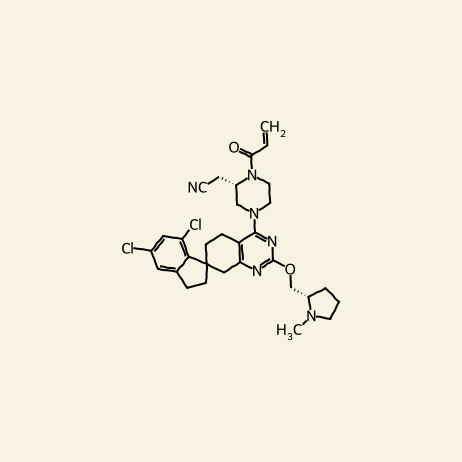 C=CC(=O)N1CCN(c2nc(OC[C@@H]3CCCN3C)nc3c2CCC2(CCc4cc(Cl)cc(Cl)c42)C3)C[C@@H]1CC#N